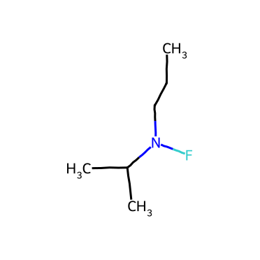 CCCN(F)C(C)C